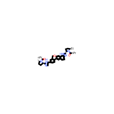 CCCC(=O)N1[C@@H](CC)CC[C@H]1c1nc2ccc3cc4c(cc3c2[nH]1)OCc1cc(-c2cnc([C@@H]3CC[C@H](C)N3C(=O)CCC)[nH]2)ccc1-4